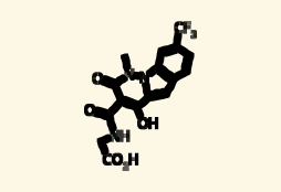 Cn1c(=O)c(C(=O)NCC(=O)O)c(O)c2cc3ccc(C(F)(F)F)cc3n21